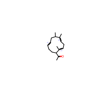 CC(=O)C1CC/C=C/CC(C)/C(C)=C/C/C=C/1C